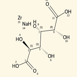 O=C(O)[C@@H](O)[C@@H](O)[C@H](O)[C@@H](O)C(=O)O.[NaH].[Zr]